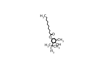 CCCCCCCCCC(=O)Oc1cc(C)c(O)c(C(C)(C)C)c1